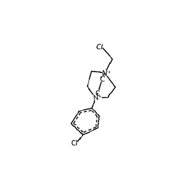 ClC[N+]12CC[N+](c3ccc(Cl)cc3)(CC1)CC2